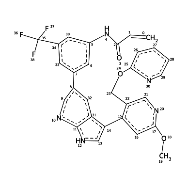 C=CC(=O)Nc1cc(-c2cnc3[nH]cc(-c4cc(OC)ncc4COc4ccccn4)c3c2)cc(C(F)(F)F)c1